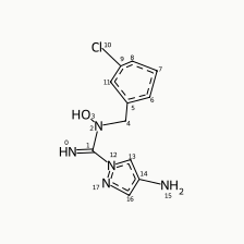 N=C(N(O)Cc1cccc(Cl)c1)n1cc(N)cn1